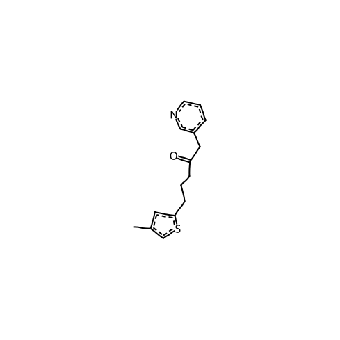 Cc1csc(CCCC(=O)Cc2cccnc2)c1